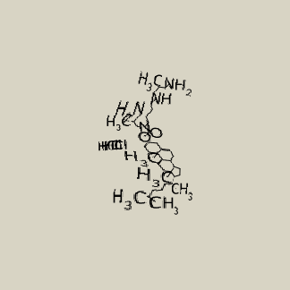 CC(C)CCC[C@@H](C)C1CCC2C3CC=C4CC(OC(=O)N(CCCCNCC(C)CN)CC(C)CN)CCC4(C)C3CCC21C.Cl.Cl.Cl